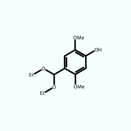 CCOC(OCC)c1cc(OC)c(O)cc1OC